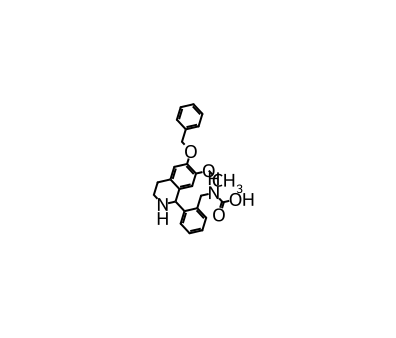 COc1cc2c(cc1OCc1ccccc1)CCNC2c1ccccc1CNC(=O)O